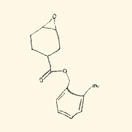 CCC(C)c1ccccc1OC(=O)C1CCC2OC2C1